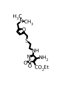 CCOC(=O)C1=C(N)C(NCCSCc2ccc(CN(C)C)o2)=NS1(=O)=O